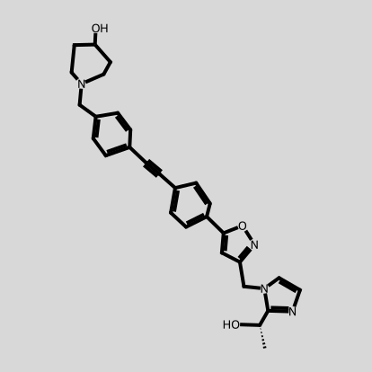 C[C@H](O)c1nccn1Cc1cc(-c2ccc(C#Cc3ccc(CN4CCC(O)CC4)cc3)cc2)on1